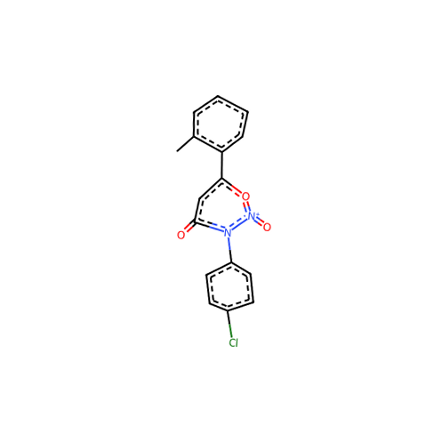 Cc1ccccc1-c1cc(=O)n(-c2ccc(Cl)cc2)[n+](=O)o1